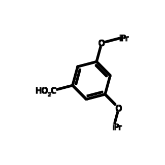 CC(C)Oc1cc(OC(C)C)cc(C(=O)O)c1